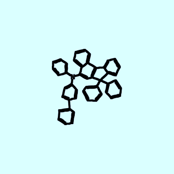 c1ccc(-c2ccc(N(c3ccccc3)c3cc4c(c5ccccc35)-c3ccccc3C4(c3ccccc3)c3ccccc3)cc2)cc1